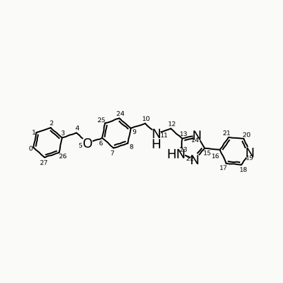 c1ccc(COc2ccc(CNCc3nc(-c4ccncc4)n[nH]3)cc2)cc1